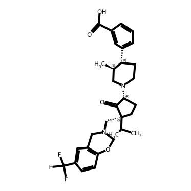 CC(C)[C@]1(CN2COc3ccc(C(F)(F)F)cc3C2)CC[C@@H](N2CC[C@@H](c3cccc(C(=O)O)c3)[C@H](C)C2)C1=O